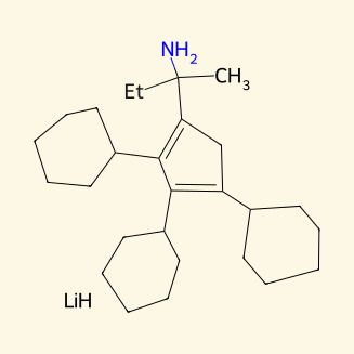 CCC(C)(N)C1=C(C2CCCCC2)C(C2CCCCC2)=C(C2CCCCC2)C1.[LiH]